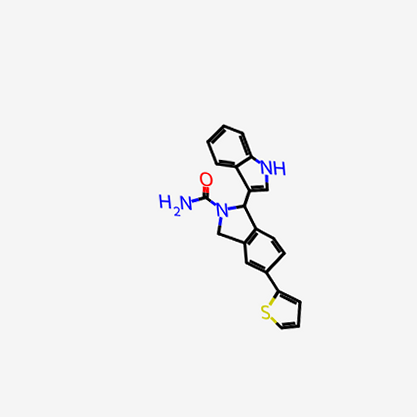 NC(=O)N1Cc2cc(-c3cccs3)ccc2C1c1c[nH]c2ccccc12